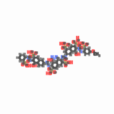 COc1ccc(N=Nc2c(S(=O)(=O)O)cc3c(S(=O)(=O)O)cc(N=Nc4c(S(=O)(=O)O)cc5cc(S(=O)(=O)O)c(N=Nc6ccc7c(O)c(N=Nc8ccccc8S(=O)(=O)O)c(S(=O)(=O)O)cc7c6)c(O)c5c4N)cc3c2O)c(S(=O)(=O)O)c1